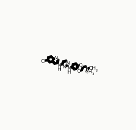 CN(C)CC1COc2cc(Nc3nccc(Nc4cnc5ccc(Cl)cc5c4)n3)ccc2O1